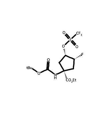 CCOC(=O)[C@@]1(NC(=O)OC(C)(C)C)C[C@@H](F)[C@@H](OS(=O)(=O)C(F)(F)F)C1